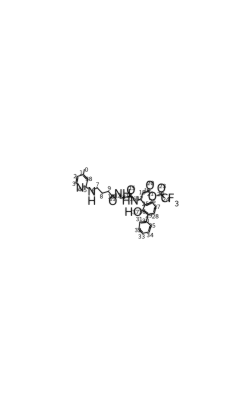 Cc1ccnc(NCCCC(=O)NCC(=O)NC(CC(=O)OC(=O)C(F)(F)F)c2cccc(-c3ccccc3)c2O)c1